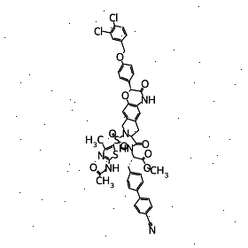 COC(=O)[C@H](Cc1ccc(-c2ccc(C#N)cc2)cc1)NC(=O)C1Cc2cc3c(cc2CN1S(=O)(=O)c1sc(NC(C)=O)nc1C)O[C@@H](c1ccc(OCc2ccc(Cl)c(Cl)c2)cc1)C(=O)N3